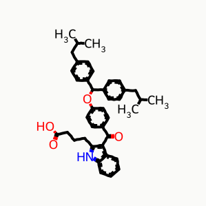 CC(C)Cc1ccc(C(Oc2ccc(C(=O)c3c(CCCC(=O)O)[nH]c4ccccc34)cc2)c2ccc(CC(C)C)cc2)cc1